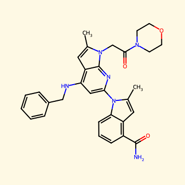 Cc1cc2c(NCc3ccccc3)cc(-n3c(C)cc4c(C(N)=O)cccc43)nc2n1CC(=O)N1CCOCC1